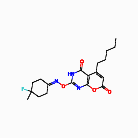 CCCCCc1cc(=O)oc2nc(ON=C3CCC(C)(F)CC3)[nH]c(=O)c12